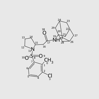 Cc1c(Cl)cccc1S(=O)(=O)N1CCCC1CC(=O)NC12CC3CC(CC(C3)C1)C2